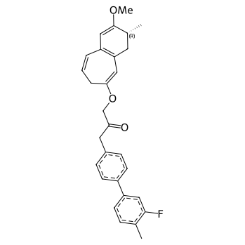 COC1=CC2=C(C=C(OCC(=O)Cc3ccc(-c4ccc(C)c(F)c4)cc3)CC=C2)C[C@H]1C